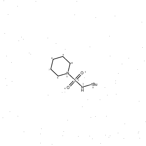 CC(C)(C)NS(=O)(=O)N1CCCCC1